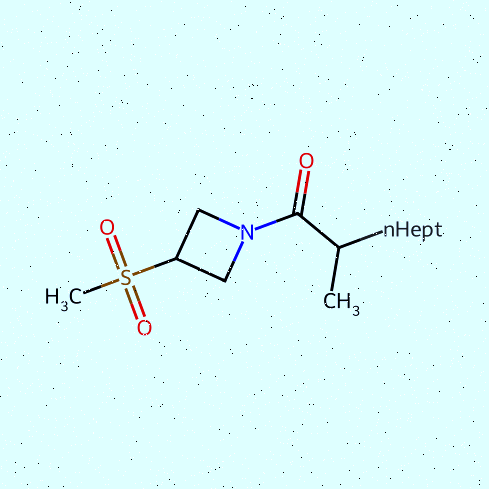 CCCCCCCC(C)C(=O)N1CC(S(C)(=O)=O)C1